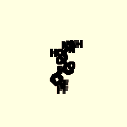 O=C(C=C(O)c1nc[nH]n1)c1occc1Sc1cccc(C(F)(F)F)c1